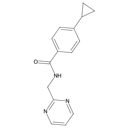 O=C(NCc1ncccn1)c1ccc(C2CC2)cc1